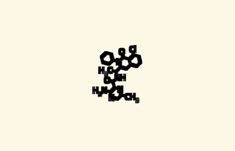 Cc1cnc(N)c(C(=O)N[C@@H](C)c2cc3cccc(Cl)c3c(=O)n2-c2ccccc2)n1